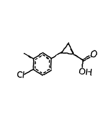 Cc1cc(C2CC2C(=O)O)ccc1Cl